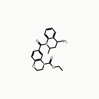 CCOC(=O)N1CCOc2ccc(C(=O)N3c4ccccc4C(N)CC3C)cc21